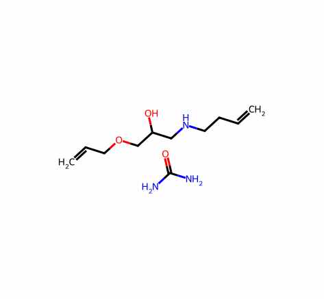 C=CCCNCC(O)COCC=C.NC(N)=O